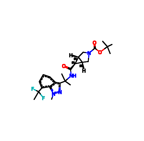 Cn1nc(C(C)(C)NC(=O)[C@H]2[C@@H]3CN(C(=O)OC(C)(C)C)C[C@@H]32)c2cccc(C(C)(F)F)c21